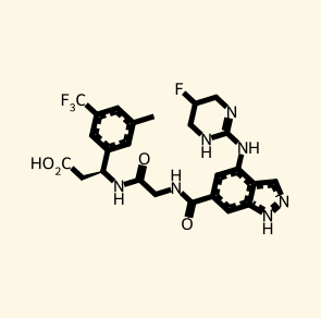 Cc1cc([C@H](CC(=O)O)NC(=O)CNC(=O)c2cc(NC3=NCC(F)CN3)c3cn[nH]c3c2)cc(C(F)(F)F)c1